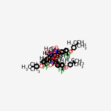 CC1=NC(c2ccc3c(C(F)(F)F)c(OC4CCC(C(C)(C)C)CC4)ccc3c2)(C(OP(=O)(OC(C(C)(C)C)(C(C)(C)C)C2(c3ccc4c(C(F)(F)F)c(OC5CCC(C(C)(C)C)CC5)ccc4c3)COC(C)=N2)OC(C(C)(C)C)(C(C)(C)C)C2(c3ccc4c(C(F)(F)F)c(OC5CCC(C(C)(C)C)CC5)ccc4c3)COC(C)=N2)(C(C)(C)C)C(C)(C)C)CO1